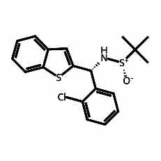 CC(C)(C)[S@+]([O-])N[C@@H](c1cc2ccccc2s1)c1ccccc1Cl